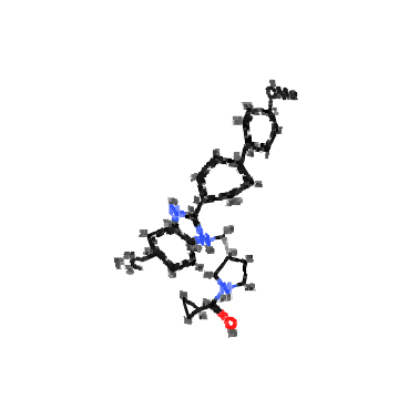 COc1ccc(-c2ccc(-c3nc4cc(C(F)(F)F)ccc4n3C[C@@H]3CCN(C(=O)C4CC4)C3)cc2)cc1